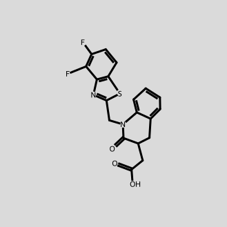 O=C(O)CC1Cc2ccccc2N(Cc2nc3c(F)c(F)ccc3s2)C1=O